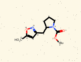 CC(C)(C)OC(=O)N1CCCC1Cc1cc(C(=O)O)on1